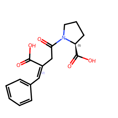 O=C(O)/C(=C\c1ccccc1)CC(=O)N1CCC[C@H]1C(=O)O